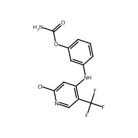 NC(=O)Oc1cccc(Nc2cc(Cl)ncc2C(F)(F)F)c1